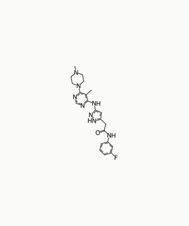 Cc1c(Nc2cc(CC(=O)Nc3cccc(F)c3)[nH]n2)ncnc1N1CCN(C)CC1